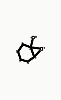 [O]C12CCCCC1O2